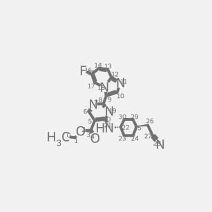 CCOC(=O)c1cnc(-c2cnc3ccc(F)cn23)nc1N[C@H]1CC[C@H](CC#N)CC1